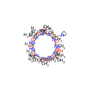 C/C=C/C[C@@H](C)[C@@H](O)[C@H]1C(=O)N[C@@H](CC)C(=O)N(C)[C@H](SCCCN2CCCC2)C(=O)N(C)[C@@H](CC(C)(C)OC)C(=O)N[C@H](C(C)C)C(=O)N(C)[C@H](CCC(C)C)C(=O)N[C@H](C)C(=O)N[C@@H](C)C(=O)N(C)[C@@H](CC(C)C)C(=O)N(C)[C@@H](CC(C)C)C(=O)N(C)[C@@H](C(C)C)C(=O)N1C